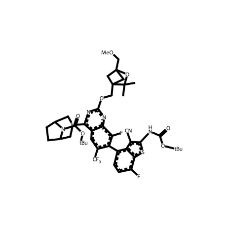 COCC12CC(COc3nc(N4CC5CCC(C4)N5C(=O)OC(C)(C)C)c4cc(C(F)(F)F)c(-c5ccc(F)c6sc(NC(=O)OC(C)(C)C)c(C#N)c56)c(F)c4n3)(C1)C(C)(C)O2